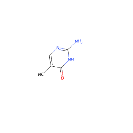 N#Cc1cnc(N)[nH]c1=O